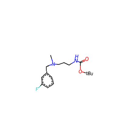 CN(CCCNC(=O)OC(C)(C)C)Cc1cccc(F)c1